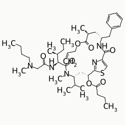 C=CCOC(=O)[C@@H](C)C[C@H](Cc1ccccc1)NC(=O)c1csc([C@@H](C[C@H](C(C)C)N(C)C(=O)[C@@H](NC(=O)CN(C)CCCC)[C@@H](C)CC)OC(=O)CCC)n1